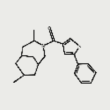 CC1CC2CC(C1)CN(C(=O)c1csc(-c3ccccc3)c1)C(C)C2